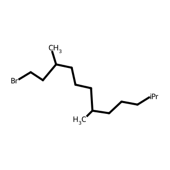 CC(C)CCCC(C)CCCC(C)CCBr